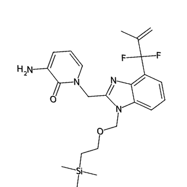 C=C(C)C(F)(F)c1cccc2c1nc(Cn1cccc(N)c1=O)n2COCC[Si](C)(C)C